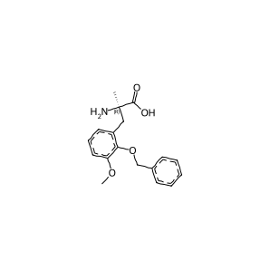 COc1cccc(C[C@@](C)(N)C(=O)O)c1OCc1ccccc1